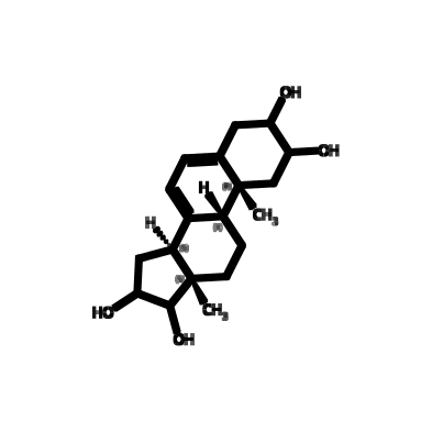 C[C@]12CC(O)C(O)CC1=CC=C1[C@H]2CC[C@]2(C)C(O)C(O)C[C@@H]12